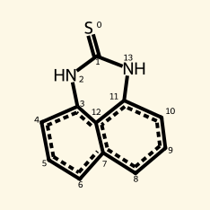 S=C1Nc2cccc3cccc(c23)N1